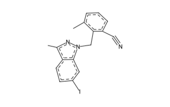 Cc1cccc(C#N)c1Cn1nc(C)c2ccc(I)cc21